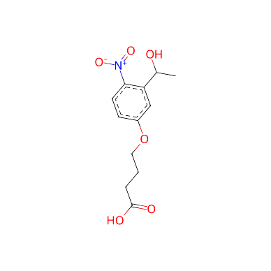 CC(O)c1cc(OCCCC(=O)O)ccc1[N+](=O)[O-]